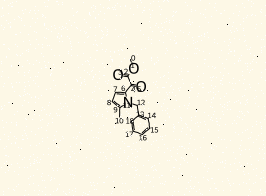 COC(=O)C(=O)c1ccc(C)n1Cc1ccccc1